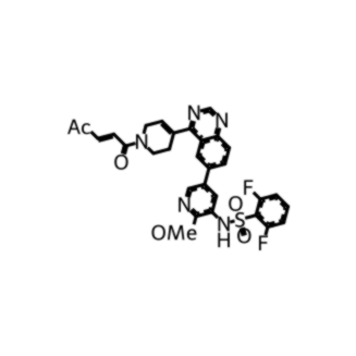 COc1ncc(-c2ccc3ncnc(C4=CCN(C(=O)/C=C/C(C)=O)CC4)c3c2)cc1NS(=O)(=O)c1c(F)cccc1F